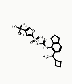 C[C@H](c1ccc2c(c1NC(=O)N[S@@](=N)(=O)c1cc(C(C)(C)O)co1)CCC2)C1CCC1